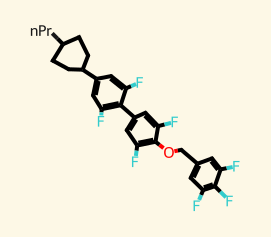 CCCC1CCC(c2cc(F)c(-c3cc(F)c(OCc4cc(F)c(F)c(F)c4)c(F)c3)c(F)c2)CC1